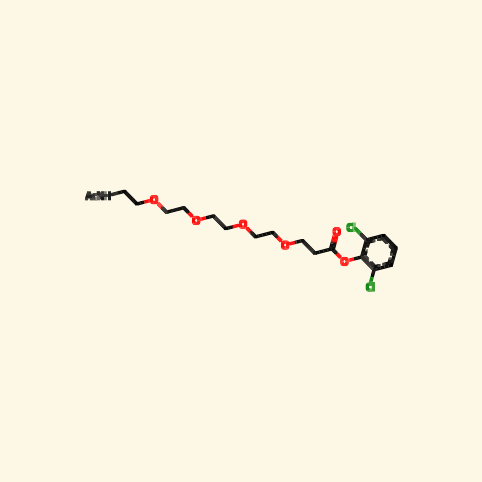 CC(=O)NCCOCCOCCOCCOCCC(=O)Oc1c(Cl)cccc1Cl